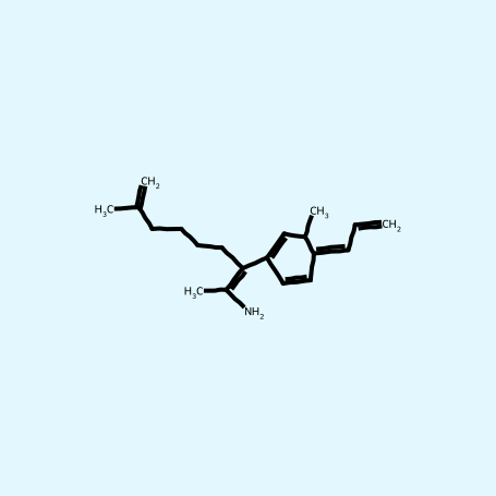 C=C/C=C1/C=CC(/C(CCCCC(=C)C)=C(/C)N)=CC1C